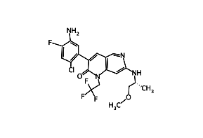 COC[C@@H](C)Nc1cc2c(cn1)cc(-c1cc(N)c(F)cc1Cl)c(=O)n2CC(F)(F)F